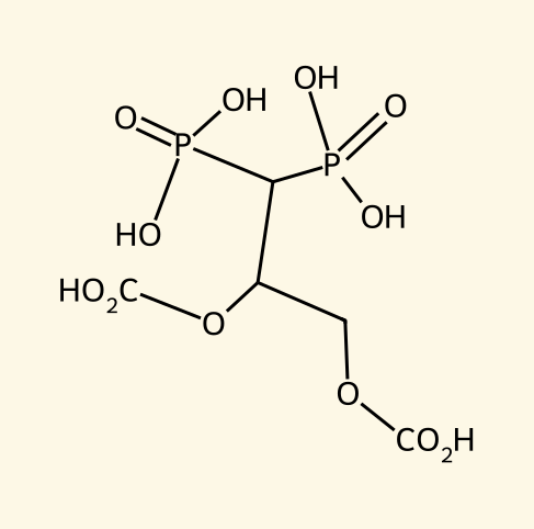 O=C(O)OCC(OC(=O)O)C(P(=O)(O)O)P(=O)(O)O